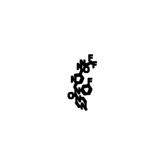 CN1CCN(C(=O)N(Cc2ccc(-c3nnc(C(F)F)o3)cn2)c2cccc(F)c2)CC1